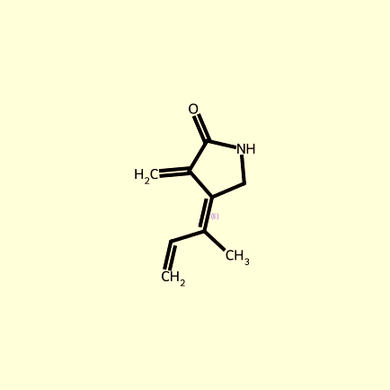 C=C/C(C)=C1/CNC(=O)C1=C